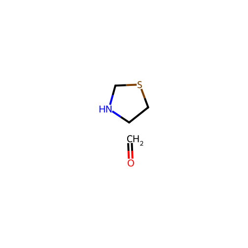 C1CSCN1.C=O